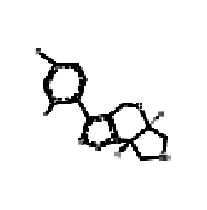 Fc1ccc(-c2nnn3c2CO[C@H]2CNC[C@@H]23)c(F)c1